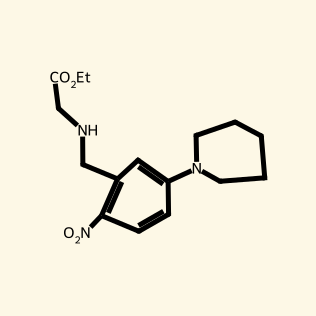 CCOC(=O)CNCc1cc(N2CCCCC2)ccc1[N+](=O)[O-]